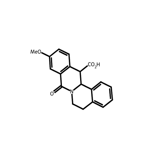 COc1ccc2c(c1)C(=O)N1CCc3ccccc3C1C2C(=O)O